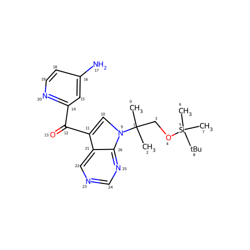 CC(C)(CO[Si](C)(C)C(C)(C)C)n1cc(C(=O)c2cc(N)ccn2)c2cncnc21